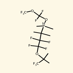 CC(C)(OC(F)(F)C(F)(F)C(C)(C)[PH](C)(C)OC(F)(F)OC(F)(F)F)C(F)(F)F